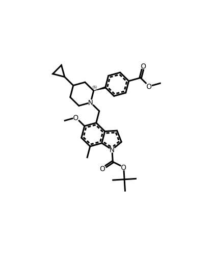 COC(=O)c1ccc([C@@H]2CC(C3CC3)CCN2Cc2c(OC)cc(C)c3c2ccn3C(=O)OC(C)(C)C)cc1